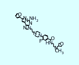 CN(CCNC(=O)c1ccc(N2CCN(CCn3cnc4c3nc(N)n3nc(-c5ccco5)cc43)CC2)c(F)c1)C1COC1